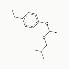 CCc1ccc(OC(C)OCC(C)C)cc1